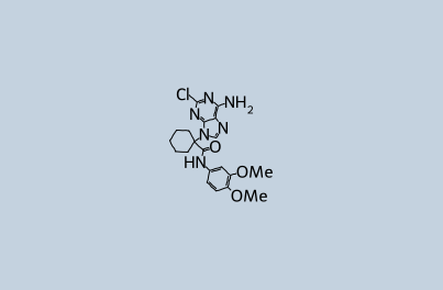 COc1ccc(NC(=O)C2(n3cnc4c(N)nc(Cl)nc43)CCCCC2)cc1OC